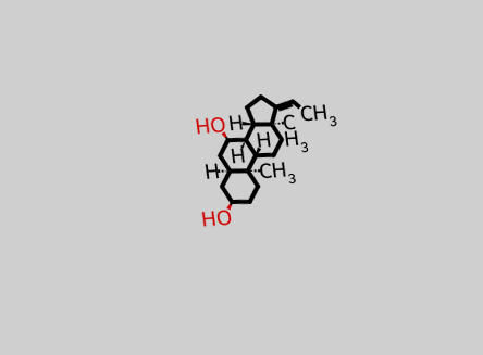 C/C=C1/CC[C@H]2[C@@H]3[C@H](O)C[C@@H]4C[C@H](O)CC[C@]4(C)[C@H]3CC[C@]12C